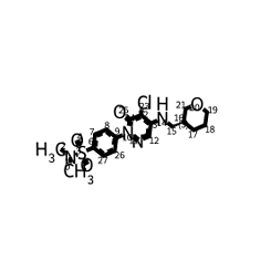 CN(C)S(=O)(=O)c1ccc(-n2ncc(NC[C@@H]3CCCOC3)c(Cl)c2=O)cc1